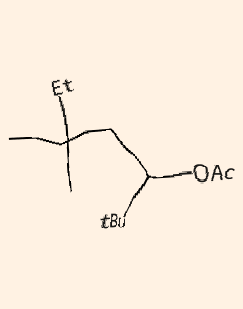 CCC(C)(C)CC(OC(C)=O)C(C)(C)C